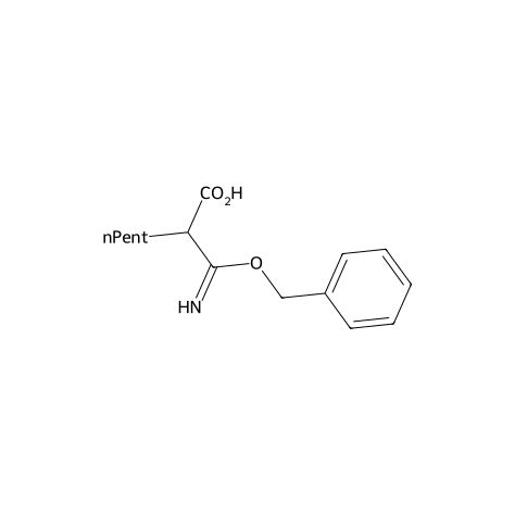 CCCCCC(C(=N)OCc1ccccc1)C(=O)O